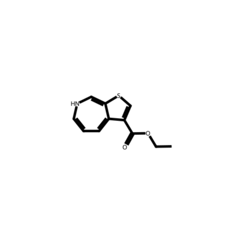 CCOC(=O)c1csc2c1=CC=CNC=2